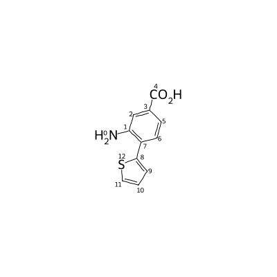 Nc1cc(C(=O)O)ccc1-c1cccs1